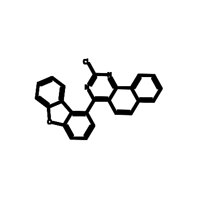 Clc1nc(-c2cccc3oc4ccccc4c23)c2ccc3ccccc3c2n1